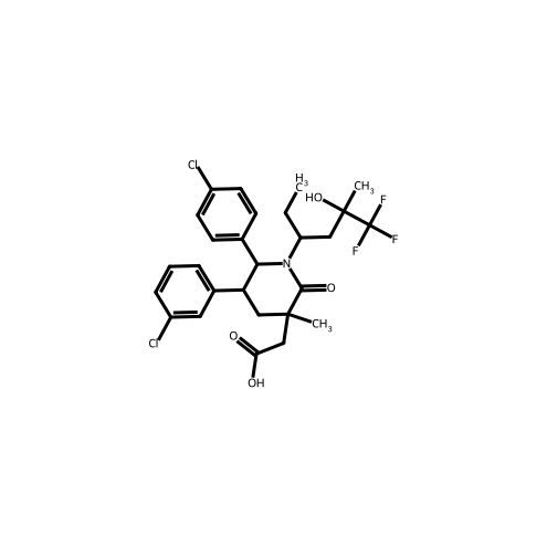 CCC(CC(C)(O)C(F)(F)F)N1C(=O)C(C)(CC(=O)O)CC(c2cccc(Cl)c2)C1c1ccc(Cl)cc1